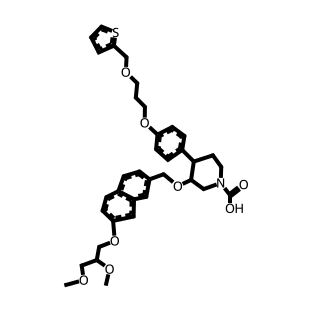 COCC(COc1ccc2ccc(COC3CN(C(=O)O)CCC3c3ccc(OCCCOCc4cccs4)cc3)cc2c1)OC